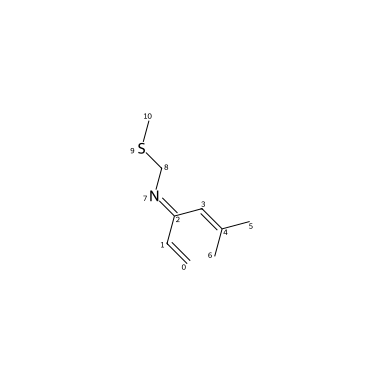 C=C/C(C=C(C)C)=N/CSC